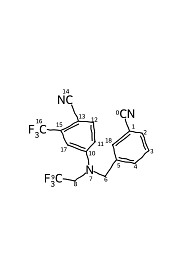 N#Cc1cccc(CN(CC(F)(F)F)c2ccc(C#N)c(C(F)(F)F)c2)c1